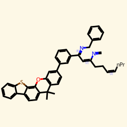 C=N/C(=C\C(=N/Cc1ccccc1)c1cccc(-c2ccc3c(c2)Oc2c(ccc4c2sc2ccccc24)C3(C)C)c1)CC/C=C\CCC